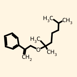 C=C(COC(C)(C)CCCC(C)C)c1ccccc1